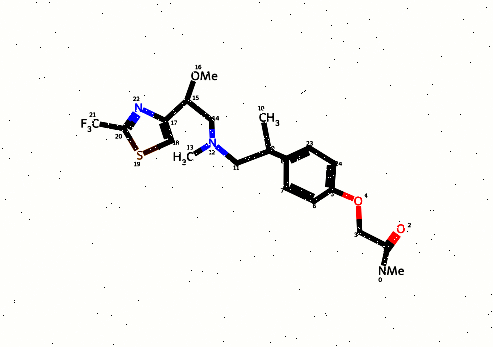 CNC(=O)COc1ccc(C(C)CN(C)CC(OC)c2csc(C(F)(F)F)n2)cc1